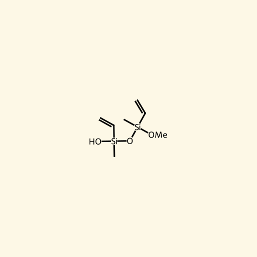 C=C[Si](C)(O)O[Si](C)(C=C)OC